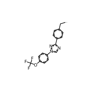 [CH2]Cc1ccc(-c2ncn(-c3ccc(OC(F)(F)F)cc3)n2)cc1